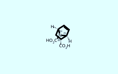 O=C(O)[C@@H]1C[C@H]2C=C[C@@H]1N2C(=O)O